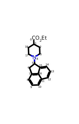 CCOC(=O)C1CCN(C2Cc3cccc4cccc2c34)CC1